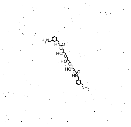 NCc1cccc(CNC(=O)OCC(O)COCC(O)COCC(O)COC(=O)NCc2cccc(CN)c2)c1